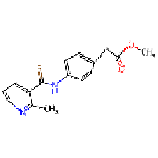 COC(=O)Cc1ccc(NC(=S)c2cccnc2C)cc1